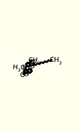 CCCCCCCCCCC(=O)Oc1cc(N(C)c2cc(=O)oc3ccccc23)ccc1OC